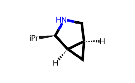 CC(C)[C@H]1NC[C@H]2C[C@H]21